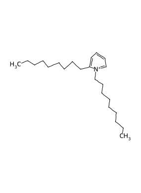 CCCCCCCCCc1cccc[n+]1CCCCCCCCC